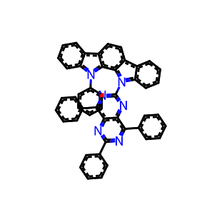 c1ccc(-c2nc(-c3ccccc3)c3nc(-n4c5ccccc5c5ccc6c7ccccc7n(-c7ccccc7)c6c54)nc(-c4ccccc4)c3n2)cc1